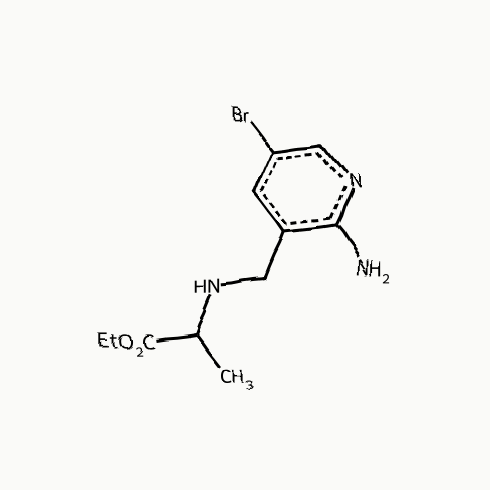 CCOC(=O)C(C)NCc1cc(Br)cnc1N